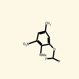 [CH2]c1cc(OC(F)F)c(NC)c([N+](=O)[O-])c1